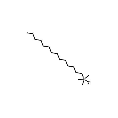 CCCCCCCCCCCCCCP(C)(C)(C)Cl